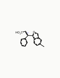 Cc1ccc2c(/C(=C/C(=O)O)c3ccccc3)occ2c1